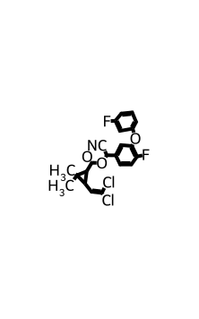 CC1(C)C(C=C(Cl)Cl)C1C(=O)OC(C#N)c1ccc(F)c(Oc2cccc(F)c2)c1